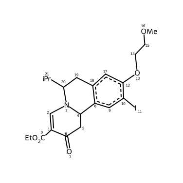 CCOC(=O)C1=CN2C(CC1=O)c1cc(I)c(OCCOC)cc1CC2C(C)C